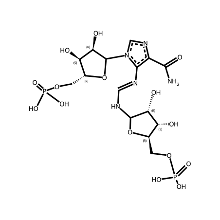 NC(=O)c1ncn(C2O[C@H](COP(=O)(O)O)[C@@H](O)[C@H]2O)c1N=CNC1O[C@H](COP(=O)(O)O)[C@@H](O)[C@H]1O